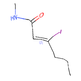 CCC/C(I)=C/C(=O)NC